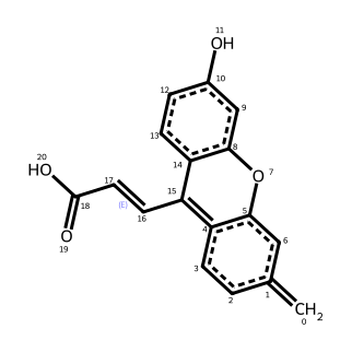 C=c1ccc2c(c1)Oc1cc(O)ccc1C=2/C=C/C(=O)O